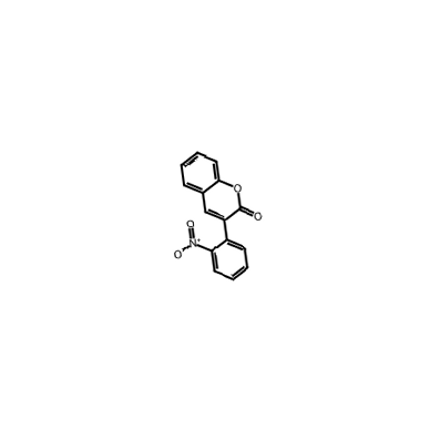 O=c1oc2ccccc2cc1-c1ccccc1[N+](=O)[O-]